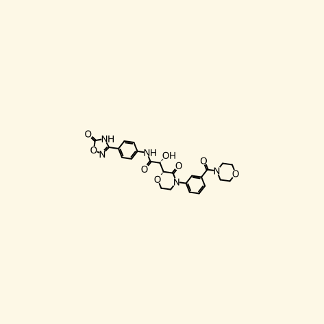 O=C(Nc1ccc(-c2noc(=O)[nH]2)cc1)[C@H](O)[C@H]1OCCN(c2cccc(C(=O)N3CCOCC3)c2)C1=O